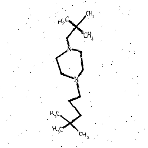 CC(C)(C)CCCN1CCN(CC(C)(C)C)CC1